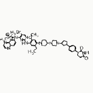 CCc1cc(Nc2ncc(Br)c(Nc3ccc4nccnc4c3P(C)(C)=O)n2)c(OC)cc1N1CCC(N2CCN(C3CCC(c4ccc(C5CCC(=O)NC5=O)cc4)C3)CC2)CC1